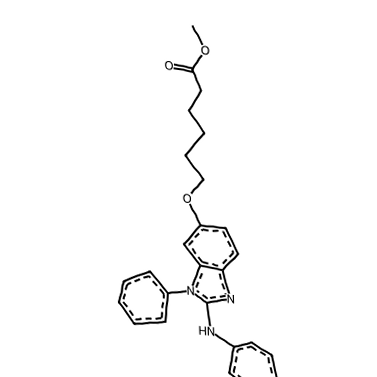 COC(=O)CCCCCOc1ccc2nc(Nc3ccccc3)n(-c3ccccc3)c2c1